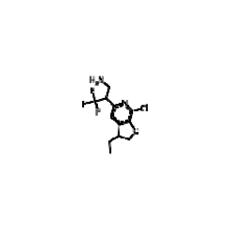 CCC1COc2c1cc(C(CN)C(F)(F)F)nc2Cl